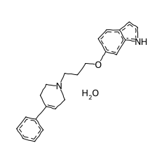 C1=C(c2ccccc2)CCN(CCCOc2ccc3cc[nH]c3c2)C1.O